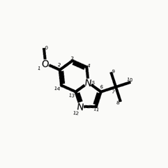 COc1ccn2c(C(C)(C)C)cnc2c1